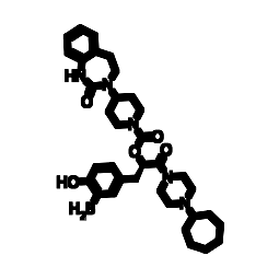 Bc1cc(C[C@@H](OC(=O)N2CCC(N3CCc4ccccc4NC3=O)CC2)C(=O)N2CCN(C3CCCCCC3)CC2)ccc1O